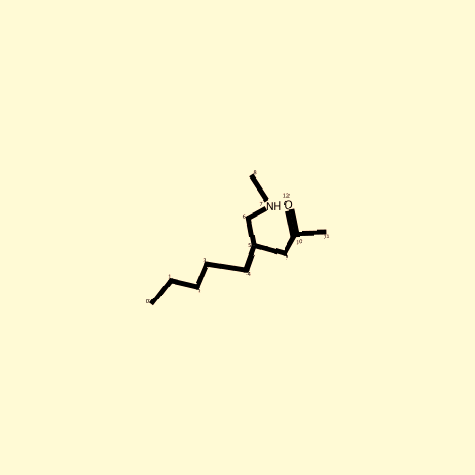 CCCCCC(CNC)CC(C)=O